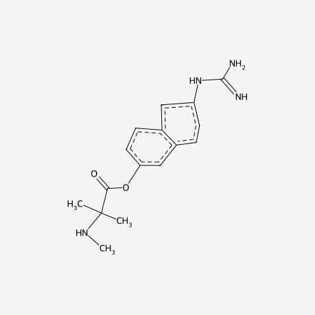 CNC(C)(C)C(=O)Oc1ccc2cc(NC(=N)N)ccc2c1